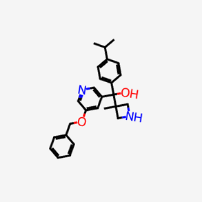 CC(C)c1ccc(C(O)(c2cncc(OCc3ccccc3)c2)C2(C)CNC2)cc1